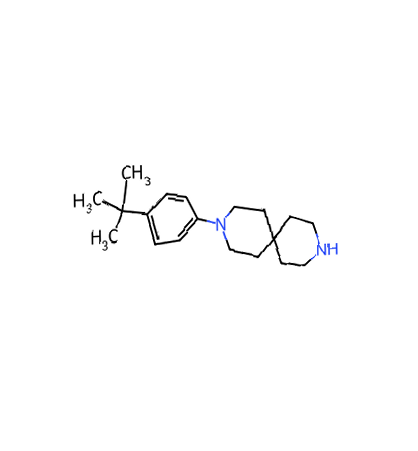 CC(C)(C)c1ccc(N2CCC3(CCNCC3)CC2)cc1